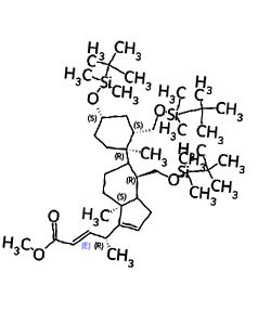 COC(=O)/C=C/[C@@H](C)C1=CCC2[C@H](CO[Si](C)(C)C(C)(C)C)C([C@@]3(C)CC[C@H](O[Si](C)(C)C(C)(C)C)C[C@@H]3CO[Si](C)(C)C(C)(C)C)CC[C@]12C